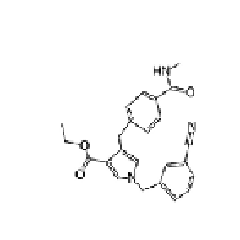 CCOC(=O)c1cn(Cc2cccc(C#N)c2)cc1Cc1ccc(C(=O)NC)cc1